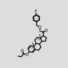 CCC(=O)OC1C=C[C@@]2(C)C(=C1)CCC1C3CCC(C(=O)SOCc4ccc(F)cc4)[C@@]3(C)CCC12